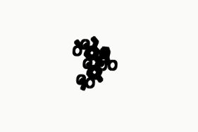 CCc1cc2c(cc1OC(C)=O)Oc1cc(OC(C)=O)c(C)cc1C21OC(=O)c2ccccc21